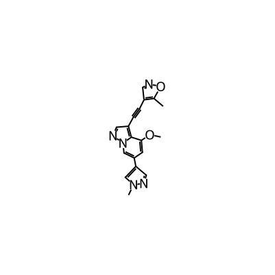 COc1cc(-c2cnn(C)c2)cn2ncc(C#Cc3cnoc3C)c12